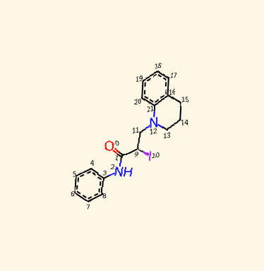 O=C(Nc1ccccc1)[C@H](I)CN1CCCc2ccccc21